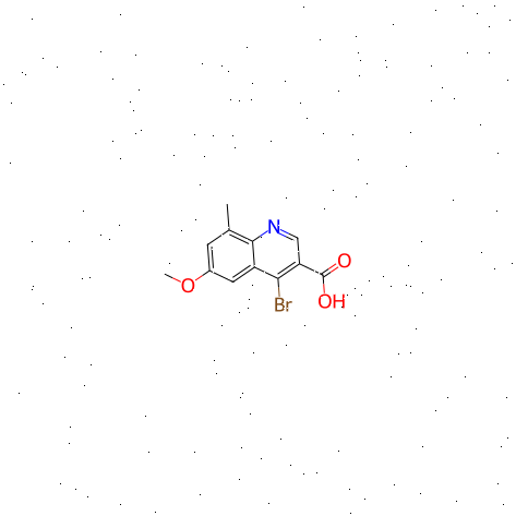 COc1cc(C)c2ncc(C(=O)O)c(Br)c2c1